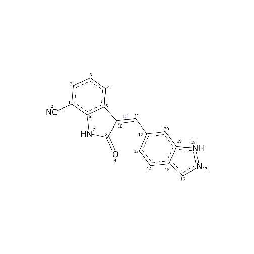 N#Cc1cccc2c1NC(=O)/C2=C\c1ccc2cn[nH]c2c1